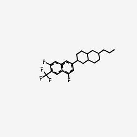 CCCC1CCC2CC(c3cc(F)c4cc(C(F)(F)F)c(F)cc4c3)CCC2C1